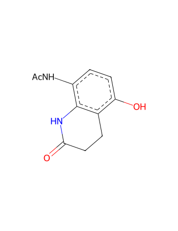 CC(=O)Nc1ccc(O)c2c1NC(=O)CC2